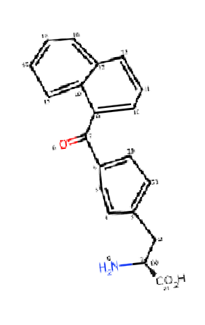 N[C@@H](Cc1ccc(C(=O)c2cccc3ccccc23)cc1)C(=O)O